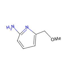 COCc1cccc(N)n1